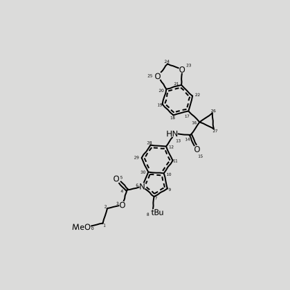 COCCOC(=O)n1c(C(C)(C)C)cc2cc(NC(=O)C3(c4ccc5c(c4)OCO5)CC3)ccc21